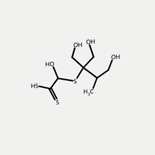 CC(CO)C(CO)(CO)SC(O)C(=S)S